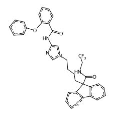 O=C(Nc1cn(CCCCC2(C(=O)NCC(F)(F)F)c3ccccc3-c3ccccc32)cn1)c1ccccc1Oc1ccccc1